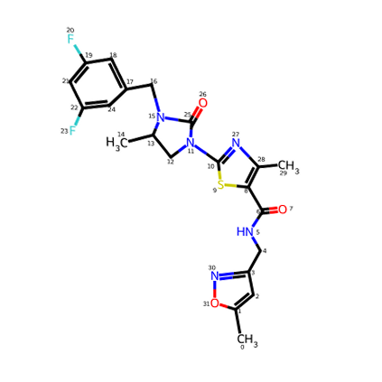 Cc1cc(CNC(=O)c2sc(N3CC(C)N(Cc4cc(F)cc(F)c4)C3=O)nc2C)no1